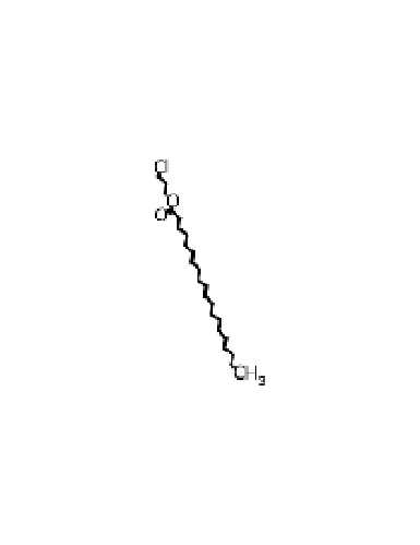 CCCCCCCCCCCCCCCCCCCC(=O)OCCCCl